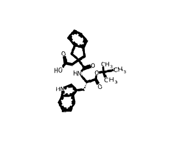 CC(C)(C)OC(=O)[C@H](Cc1c[nH]c2ccccc12)NC(=O)C1(CC(=O)O)Cc2ccccc2C1